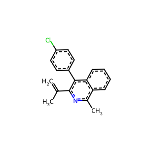 C=C(C)c1nc(C)c2ccccc2c1-c1ccc(Cl)cc1